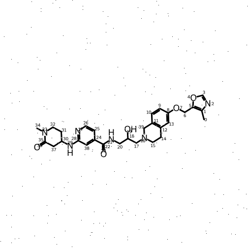 Cc1ncoc1COc1ccc2c(c1)CCN(CC(O)CNC(=O)c1ccnc(NC3CCN(C)C(=O)C3)c1)C2